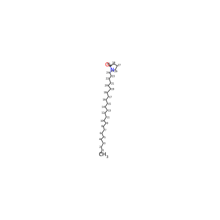 CCCCCCCCCCCCCCCCCCCCCCCCCN1CCCC1=O